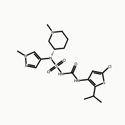 CC(C)c1sc(Cl)cc1NC(=O)NS(=O)(=O)N(c1cnn(C)c1)[C@H]1CCCN(C)C1